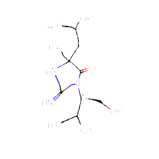 CC(C)CC1(C)NC(=N)N([C@@H](CO)C(C)C)C1=O